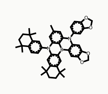 Cc1cc2c3c(c1)N(c1ccc4c(c1)C(C)(C)CCC4(C)C)c1cc4c(cc1B3c1cc3c(cc1N2c1ccc2c(c1)OCO2)OCO3)C(C)(C)CCC4(C)C